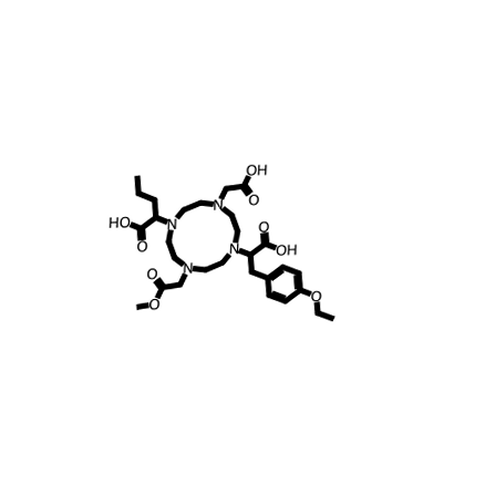 CCCC(C(=O)O)N1CCN(CC(=O)O)CCN(C(Cc2ccc(OCC)cc2)C(=O)O)CCN(CC(=O)OC)CC1